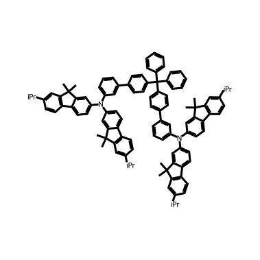 CC(C)c1ccc2c(c1)C(C)(C)c1cc(N(c3cccc(-c4ccc(C(c5ccccc5)(c5ccccc5)c5ccc(-c6cccc(N(c7ccc8c(c7)C(C)(C)c7cc(C(C)C)ccc7-8)c7ccc8c(c7)C(C)(C)c7cc(C(C)C)ccc7-8)c6)cc5)cc4)c3)c3ccc4c(c3)C(C)(C)c3cc(C(C)C)ccc3-4)ccc1-2